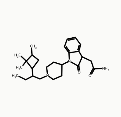 CCC(CN1CCC(N2C(=O)C(CC(N)=O)c3ccccc32)CC1)C1CC(C)C1(C)C